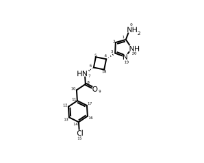 Nc1cc([C@H]2C[C@@H](NC(=O)Cc3ccc(Cl)cc3)C2)n[nH]1